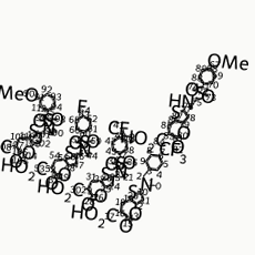 CN(Cc1ccc(C(F)(F)F)cc1)c1cc2oc(=O)c(C(=O)O)cc2s1.CN(c1cc2oc(=O)c(C(=O)O)cc2s1)S(=O)(=O)c1ccc(C(F)(F)F)cc1.CN(c1cc2oc(=O)c(C(=O)O)cc2s1)S(=O)(=O)c1ccc(F)cc1.COc1ccc(S(=O)(=O)CNc2cc3oc(=O)c(C(=O)O)cc3s2)cc1.COc1cccc(S(=O)(=O)N(C)c2cc3oc(=O)c(C(=O)O)cc3s2)c1